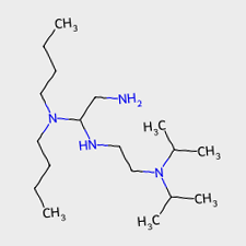 CCCCN(CCCC)C(CN)NCCN(C(C)C)C(C)C